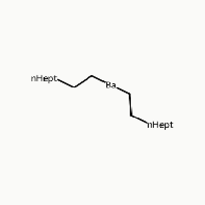 CCCCCCCC[CH2][Ba][CH2]CCCCCCCC